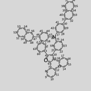 c1ccc(-c2oc3c4ccccc4c4ccccc4c3c2-c2cccc(N(c3ccc(-c4ccc5ccccc5c4)cc3)c3ccc(-c4ccc5ccccc5c4)cc3)c2)cc1